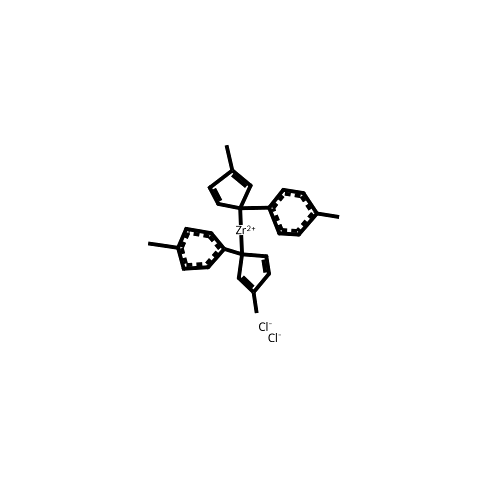 CC1=C[C]([Zr+2][C]2(c3ccc(C)cc3)C=CC(C)=C2)(c2ccc(C)cc2)C=C1.[Cl-].[Cl-]